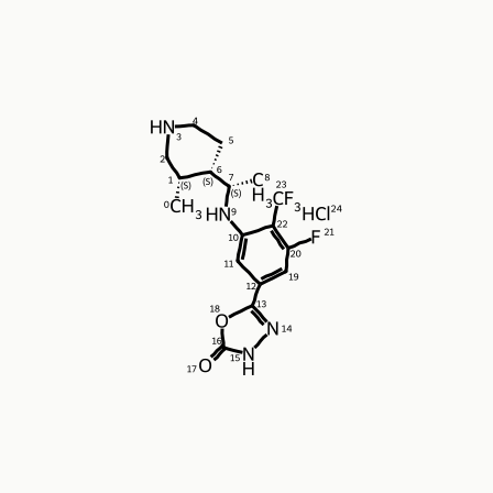 C[C@@H]1CNCC[C@@H]1[C@H](C)Nc1cc(-c2n[nH]c(=O)o2)cc(F)c1C(F)(F)F.Cl